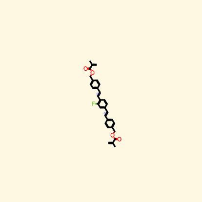 C=C(C)C(=O)OCc1ccc(/C=C/c2ccc(/C=C/c3ccc(COC(=O)C(=C)C)cc3)c(F)c2)cc1